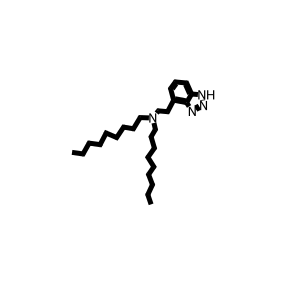 CCCCCCCCCN(CCCCCCCCC)CCc1cccc2[nH]nnc12